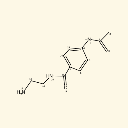 C=C(C)Nc1ccc(C(=O)NCCN)cc1